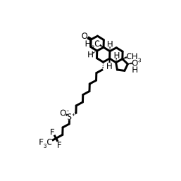 C[C@]12CCC(=O)C[C@@H]1C[C@@H](CCCCCCCCC[S+]([O-])CCCC(F)(F)C(F)(F)F)[C@@H]1[C@@H]2CC[C@]2(C)[C@@H](O)CC[C@@H]12